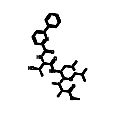 COC(=O)[C@@H](C)N(C)B(OCC(C)C)[C@H](CC(C)C)NC(=O)[C@@H](NC(=O)c1cccc(-c2ccccc2)n1)[C@@H](C)O